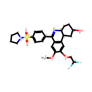 COc1cc2c(cc1OCC(F)F)C1CC(O)CCC1N=C2c1ccc(S(=O)(=O)N2CCCC2)cc1